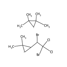 CC1(C)[CH]C1(C)C.CC1(C)[CH]C1C(Br)C(Cl)(Cl)Br